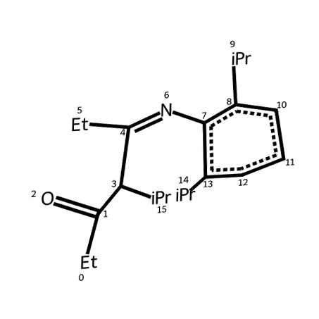 CCC(=O)C(/C(CC)=N\c1c(C(C)C)cccc1C(C)C)C(C)C